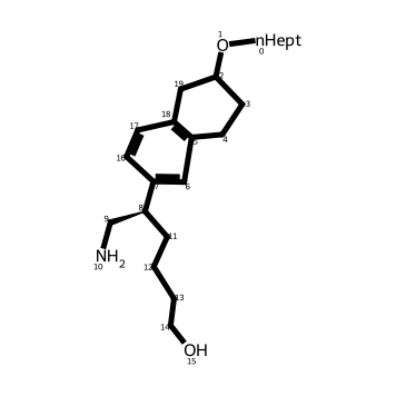 CCCCCCCOC1CCc2cc([C@H](CN)CCCCO)ccc2C1